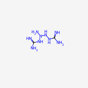 N=C(N)NNN(N)NC(=N)N